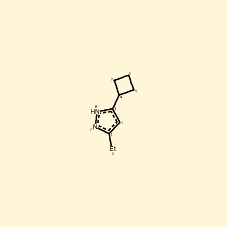 CCc1cc(C2CCC2)[nH]n1